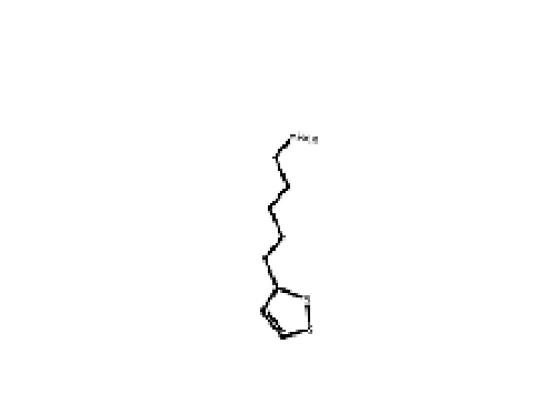 CCCCCCCCCCCC1C=CSS1